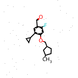 CC1CCC(COc2cc(F)c(C=O)cc2C2CC2)C1